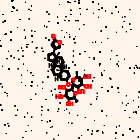 C[C@@H]1O[C@@H]([C@@]2(O[C@H]3CC[C@@]4(C)[C@H](CC[C@@H]5[C@@H]4CC[C@]4(C)[C@@H](C6=CC(=O)OC6)CC[C@@H]54)C3)O[C@@H](C)[C@H](O)[C@@H](O)[C@H]2O)[C@H](O)[C@H](O)[C@H]1O